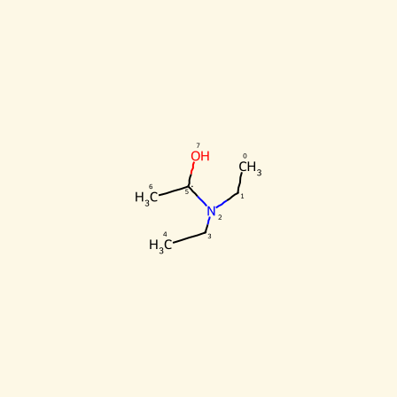 CCN(CC)[C](C)O